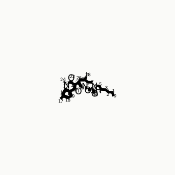 CC[CH]CCCN(Cc1nc2oc(-c3ccc(C)cc3)c(C(=O)NC)c2cc1I)[SH](=O)=O